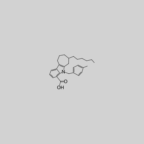 CCCCCCC1CCCc2c(n(Cc3ccc(C)cc3)c3c(C(=O)O)cccc23)C1